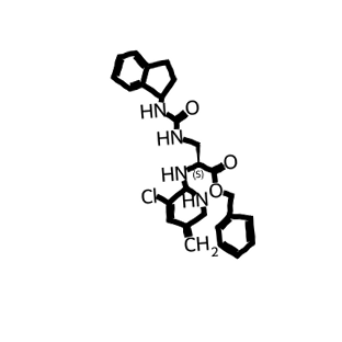 C=C1C=C(Cl)C(N[C@@H](CNC(=O)NC2CCc3ccccc32)C(=O)OCc2ccccc2)NC1